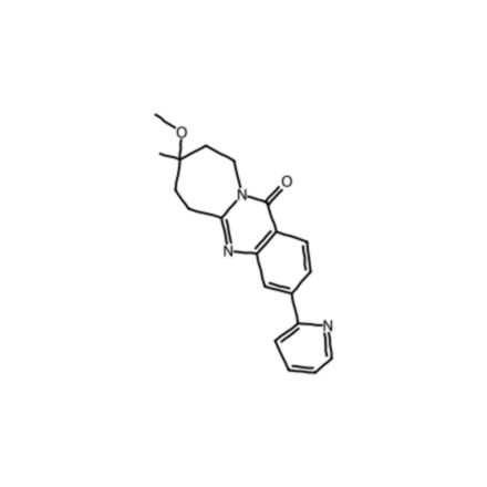 COC1(C)CCc2nc3cc(-c4ccccn4)ccc3c(=O)n2CC1